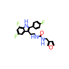 O=C(NCCc1c(-c2ccc(F)cc2)[nH]c2c(F)cc(F)cc12)NCc1ccoc1